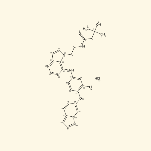 CC(C)(O)CC(=O)NCCn1ccc2ncnc(Nc3ccc(Oc4ccc5ccnn5c4)c(Cl)c3)c21.Cl